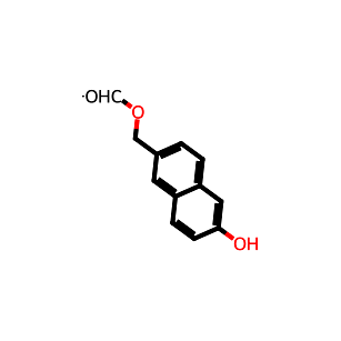 O=[C]OCc1ccc2cc(O)ccc2c1